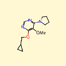 COc1c(OCC2CC2)ncnc1N1CCCC1